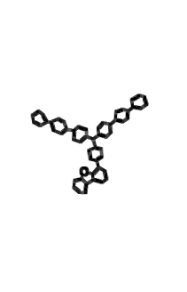 c1ccc(-c2ccc(-c3ccc(C(c4ccc(-c5ccc(-c6ccccc6)cc5)cc4)c4ccc(-c5cccc6c5oc5ccccc56)cc4)cc3)cc2)cc1